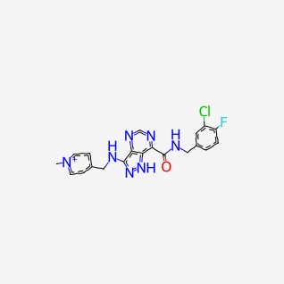 C[n+]1ccc(CNc2n[nH]c3c(C(=O)NCc4ccc(F)c(Cl)c4)ncnc23)cc1